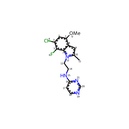 COc1cc(Cl)c(F)c2c1cc(C)n2CCNc1ccncn1